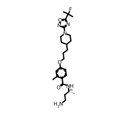 Cc1cc(OCCCC2CCN(c3noc(C(C)(C)F)n3)CC2)ccc1C(=O)N[C@H](C)CCN